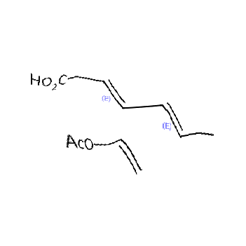 C/C=C/C=C/C(=O)O.C=COC(C)=O